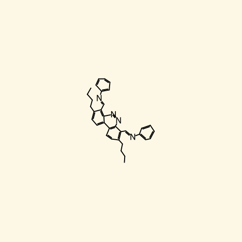 CCCCc1ccc2c(nnc3c(/C=N/c4ccccc4)c(CCCC)ccc32)c1/C=N/c1ccccc1